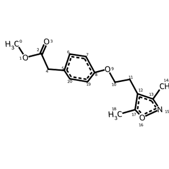 COC(=O)Cc1ccc(OCCc2c(C)noc2C)cc1